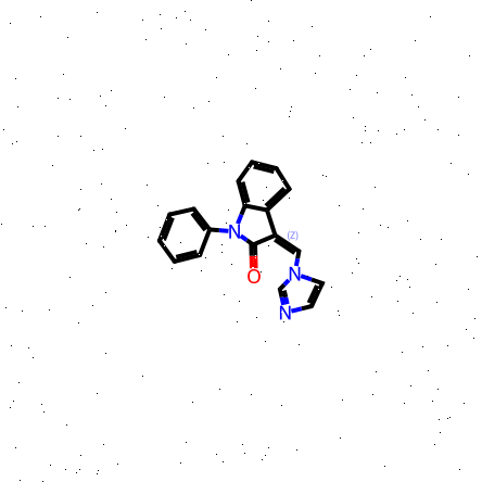 O=C1/C(=C\n2ccnc2)c2ccccc2N1c1ccccc1